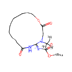 [2H]C([2H])([2H])N1CC(=O)OCCCCCCCCC(=O)N/C1=N/C(=O)OC(C)(C)C